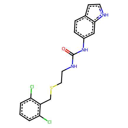 O=C(NCCSCc1c(Cl)cccc1Cl)Nc1ccc2cc[nH]c2c1